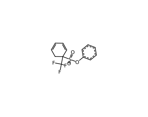 O=S(=O)(Oc1ccccc1)C1(C(F)(F)F)C=CC=CC1